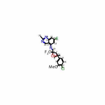 COc1cc(C(C)(C)CC(O)(/C=N/c2cc(F)cc3nc(C)ncc23)C(F)(F)F)ccc1Cl